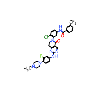 CN1CCN(c2ccc(Nc3ncc4c(n3)CCN(c3cc(NC(=O)c5cccc(C(F)(F)F)c5)ccc3Cl)C4=O)cc2F)CC1